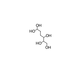 OCC(O)C(O)CCC(O)O